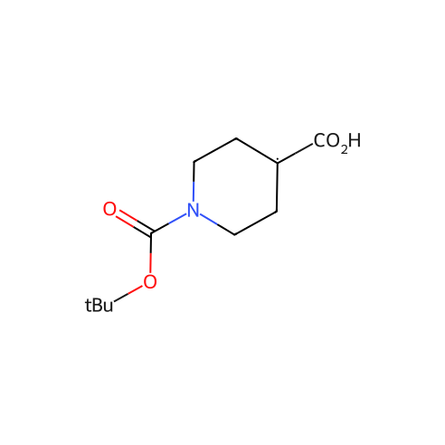 CC(C)(C)OC(=O)N1CC[C](C(=O)O)CC1